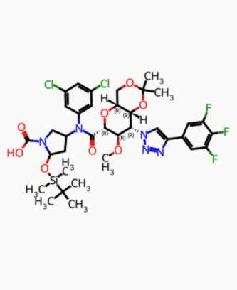 CO[C@@H]1[C@@H](n2cc(-c3cc(F)c(F)c(F)c3)nn2)[C@H]2OC(C)(C)OC[C@H]2O[C@H]1C(=O)N(c1cc(Cl)cc(Cl)c1)C1CC(O[Si](C)(C)C(C)(C)C)N(C(=O)O)C1